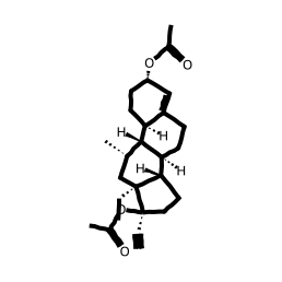 C#C[C@@]1(OC(C)=O)CC[C@H]2[C@@H]3CCC4=C[C@@H](OC(C)=O)CC[C@@H]4[C@H]3[C@@H](C)C[C@@]21CC